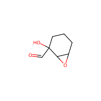 O=CC1(O)CCCC2OC21